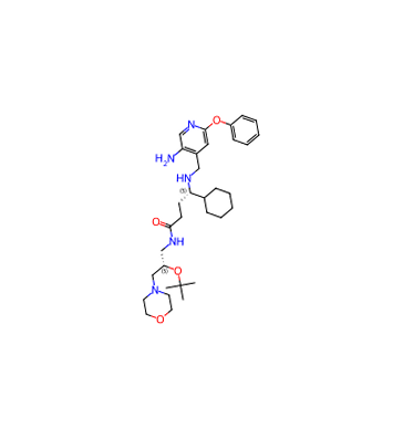 CC(C)(C)O[C@@H](CNC(=O)CC[C@H](NCc1cc(Oc2ccccc2)ncc1N)C1CCCCC1)CN1CCOCC1